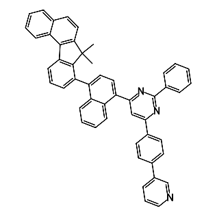 CC1(C)c2ccc3ccccc3c2-c2cccc(-c3ccc(-c4cc(-c5ccc(-c6cccnc6)cc5)nc(-c5ccccc5)n4)c4ccccc34)c21